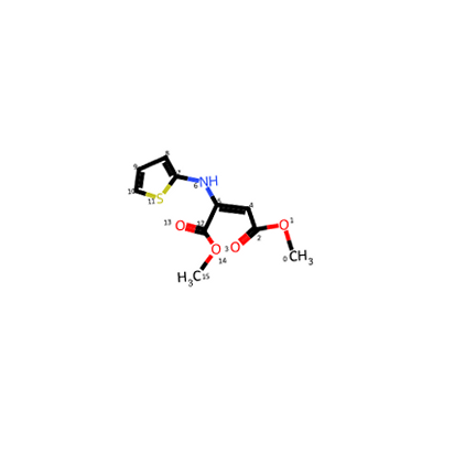 COC(=O)C=C(Nc1cccs1)C(=O)OC